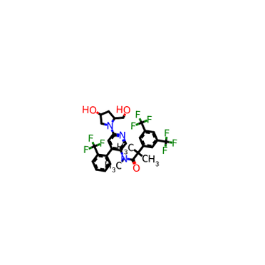 CN(C(=O)C(C)(C)c1cc(C(F)(F)F)cc(C(F)(F)F)c1)c1cnc(N2CC(O)CC2CO)cc1-c1ccccc1C(F)(F)F